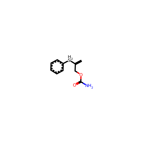 C=C(COC(N)=O)[SiH2]c1ccccc1